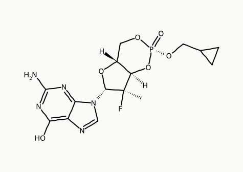 C[C@@]1(F)[C@@H]2O[P@@](=O)(OCC3CC3)OC[C@H]2O[C@H]1n1cnc2c(O)nc(N)nc21